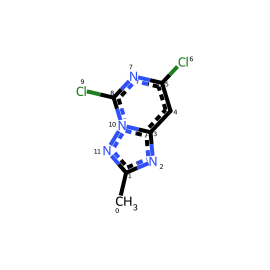 Cc1nc2cc(Cl)nc(Cl)n2n1